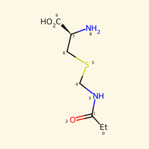 CCC(=O)NCSC[C@H](N)C(=O)O